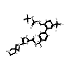 C[C@@H](NC(=O)c1nc(N2CC3(CCOC3)C2)cs1)c1ccc(-c2cc(C(F)(F)F)ccc2CNC(=O)OC(C)(C)C)cc1